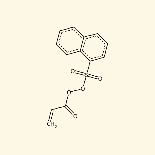 C=CC(=O)OOS(=O)(=O)c1cccc2ccccc12